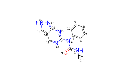 CCNC(=O)N(c1ccccc1)c1ncc2c[nH]nc2n1